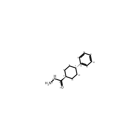 NNC(=O)[C@H]1CC[C@H](c2ccccc2)CC1